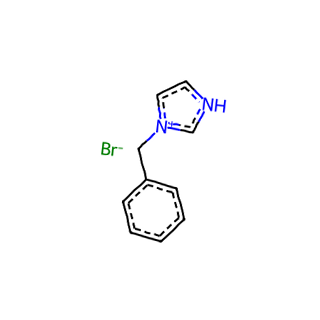 [Br-].c1ccc(C[n+]2cc[nH]c2)cc1